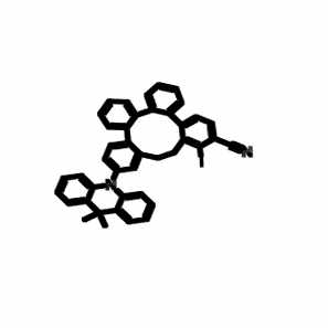 CC1(C)c2ccccc2N(c2ccc3c(c2)CCc2c(ccc(C#N)c2I)-c2ccccc2-c2ccccc2-3)c2ccccc21